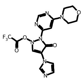 O=C(On1cc(-n2ccnc2)c(=O)n1-c1cc(N2CCOCC2)ncn1)C(F)(F)F